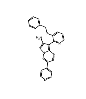 Nc1nn2cc(-c3ccncc3)cnc2c1-c1ncccc1OCc1ccccc1